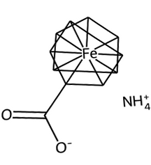 O=C([O-])[C]12[CH]3[CH]4[CH]5[CH]1[Fe]45321678[CH]2[CH]1[CH]6[CH]7[CH]28.[NH4+]